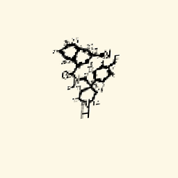 CN(CC1(c2ccc(F)cc2)CCNCC1)C(=O)c1cc(C#N)cc2ccccc12